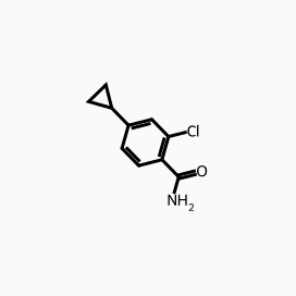 NC(=O)c1ccc(C2CC2)cc1Cl